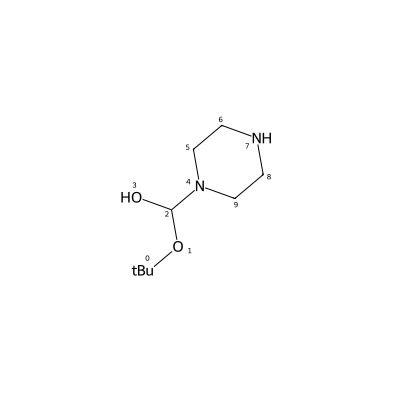 CC(C)(C)OC(O)N1CCNCC1